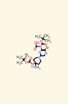 CC1(NC(=O)OC(C)(C)C)CCN(c2cnc(Br)c(N(C(=O)O)C(=O)OC(C)(C)C)n2)CC1